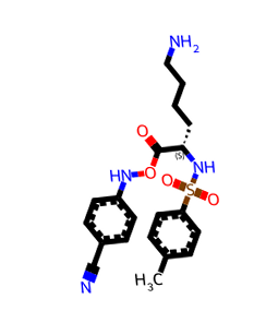 Cc1ccc(S(=O)(=O)N[C@@H](CCCCN)C(=O)ONc2ccc(C#N)cc2)cc1